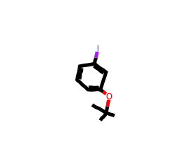 CC(C)(C)Oc1cccc(I)c1